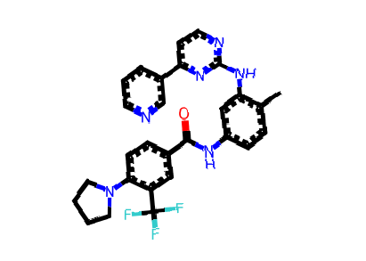 Cc1ccc(NC(=O)c2ccc(N3CCCC3)c(C(F)(F)F)c2)cc1Nc1nccc(-c2cccnc2)n1